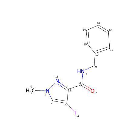 Cn1cc(I)c(C(=O)NCc2ccccc2)n1